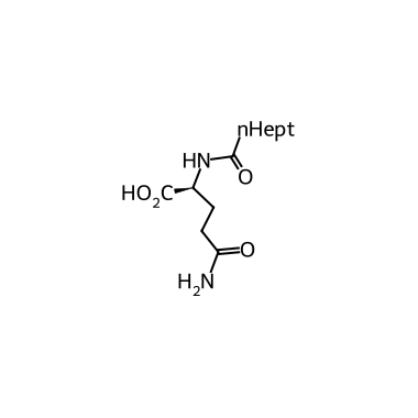 CCCCCCCC(=O)N[C@@H](CCC(N)=O)C(=O)O